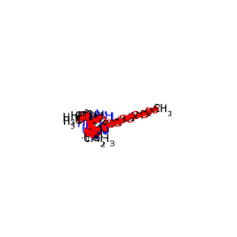 [CH2]c1ccc(NC(=O)[C@H](CCCNC(N)=O)NC(=O)[C@@H](NC(=O)OC(C)(C)C)C(C)C)cc1CN(C)C(=O)OCc1cn(CCOCCOCCOCCOCCOCCOCCOCCOC)nn1